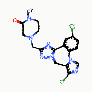 CCN1CCN(Cc2nc3n(n2)Cc2c(Cl)ncn2-c2ccc(Cl)cc2-3)CC1=O